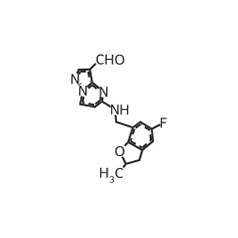 CC1Cc2cc(F)cc(CNc3ccn4ncc(C=O)c4n3)c2O1